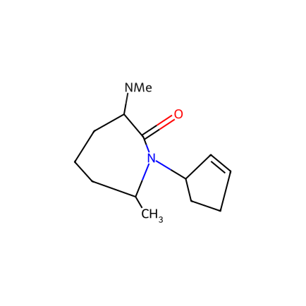 CNC1CCCC(C)N(C2C=CCC2)C1=O